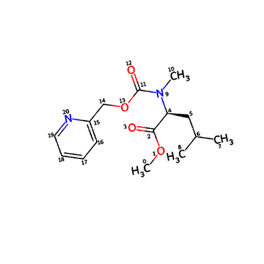 COC(=O)[C@H](CC(C)C)N(C)C(=O)OCc1ccccn1